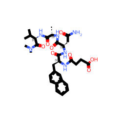 CC(C)[C@H](NC(=O)[C@H](C)NC(=O)[C@H](CC(N)=O)NC(=O)[C@H](Cc1ccc2ccccc2c1)NC(=O)CCC(=O)O)C(=O)N(C)C